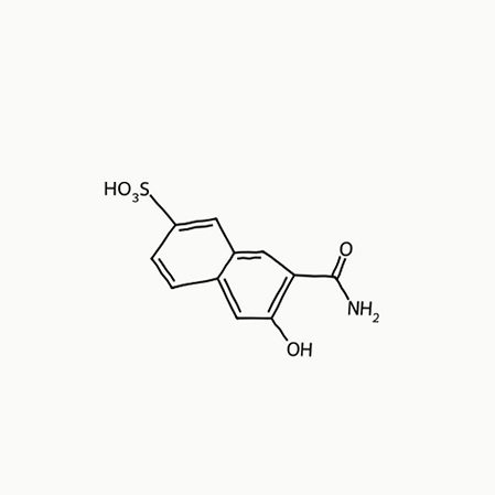 NC(=O)c1cc2cc(S(=O)(=O)O)ccc2cc1O